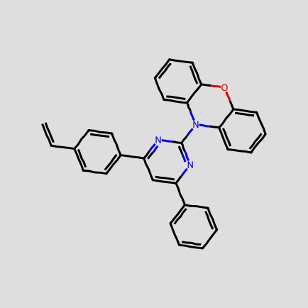 C=Cc1ccc(-c2cc(-c3ccccc3)nc(N3c4ccccc4Oc4ccccc43)n2)cc1